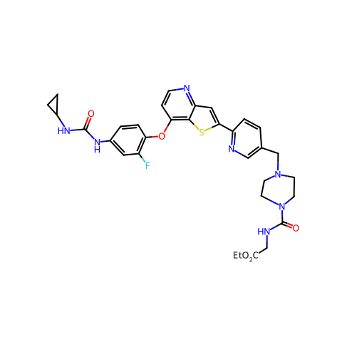 CCOC(=O)CNC(=O)N1CCN(Cc2ccc(-c3cc4nccc(Oc5ccc(NC(=O)NC6CC6)cc5F)c4s3)nc2)CC1